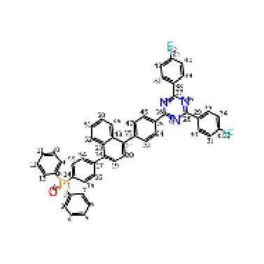 O=P(c1ccccc1)(c1ccccc1)c1ccc(-c2ccc(-c3ccc(-c4nc(-c5ccc(F)cc5)nc(-c5ccc(F)cc5)n4)cc3)c3ccccc23)cc1